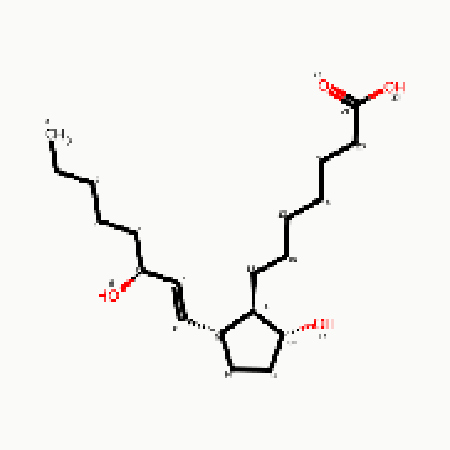 CCCCC[C@H](O)/C=C/[C@H]1CC[C@@H](O)[C@@H]1CCCCCCC(=O)O